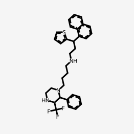 FC(F)(F)C1NCCN(CCCCNCCC(c2cccs2)c2cccc3ccccc23)C1c1ccccc1